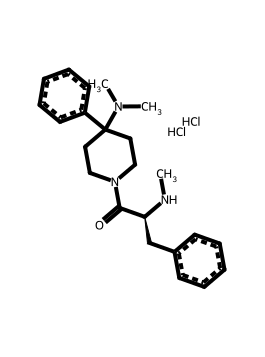 CN[C@@H](Cc1ccccc1)C(=O)N1CCC(c2ccccc2)(N(C)C)CC1.Cl.Cl